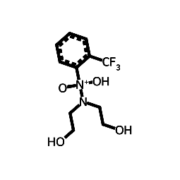 [O-][N+](O)(c1ccccc1C(F)(F)F)N(CCO)CCO